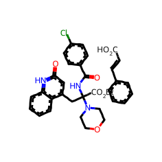 CCOC(=O)C(Cc1cc(=O)[nH]c2ccccc12)(NC(=O)c1ccc(Cl)cc1)N1CCOCC1.O=C(O)C=Cc1ccccc1